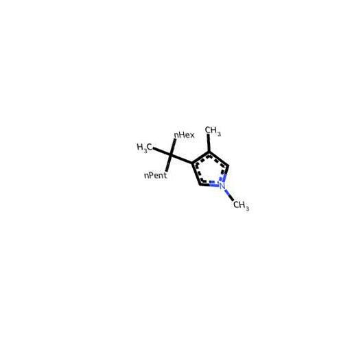 CCCCCCC(C)(CCCCC)c1cn(C)cc1C